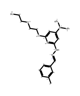 CCCN(CCC)c1cc(N/N=C/c2cccc(C)c2)nc(OCCOCCC(C)=O)c1